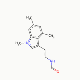 Cc1cc(C)c2c(CCNC=O)cn(C)c2c1